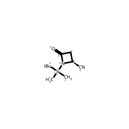 CC(C)(C)[Si](C)(C)N1C(=O)C[C@H]1C#N